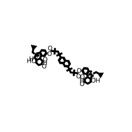 Cc1ccc(OC(=O)C(C)(C)CC(C)(C)c2ccc3cc(C(C)(C)CC(C)(C)C(=O)Oc4ccc5c6c4O[C@H]4C(=O)CC[C@@]7(O)[C@@H](C5)N(CC5CC5)CC[C@]647)ccc3c2)c2c1[C@]13CCN(CC4CC4)[C@H](C)[C@]1(O)CCC(=O)[C@@H]3O2